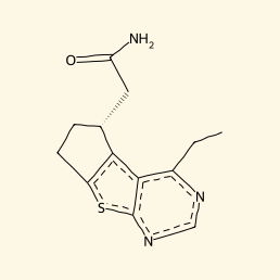 CCc1ncnc2sc3c(c12)[C@@H](CC(N)=O)CC3